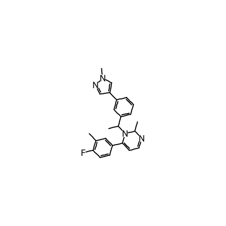 Cc1cc(C2=CC=NC(C)N2C(C)c2cccc(-c3cnn(C)c3)c2)ccc1F